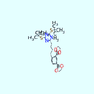 CC(C)(C)Sc1nc(CCCCc2ccc(B3OCCO3)cc2B2OCCO2)nc(SC(C)(C)C)n1